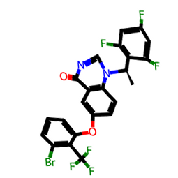 C[C@H](c1c(F)cc(F)cc1F)n1cnc(=O)c2cc(Oc3cccc(Br)c3C(F)(F)F)ccc21